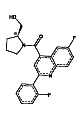 O=C(c1cc(-c2ccccc2F)nc2ccc(F)cc12)N1CCC[C@H]1CO